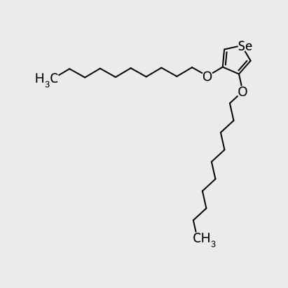 CCCCCCCCCCOc1c[se]cc1OCCCCCCCCCC